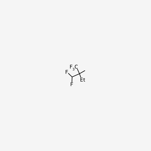 CCC(C)(C(F)F)C(F)(F)F